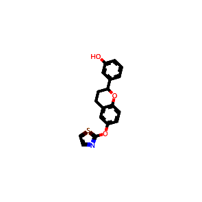 Oc1cccc(C2CCc3cc(Oc4nccs4)ccc3O2)c1